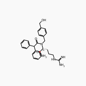 N=C(N)NCCC[C@H](C(N)=O)N(Cc1ccc(CO)cc1)C(=O)C(c1ccccc1)c1ccccc1